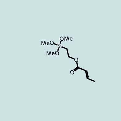 CC=CC(=O)OCC[Si](OC)(OC)OC